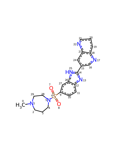 CN1CCCN(S(=O)(=O)c2ccc3nc(-c4cnc5cccnc5c4)[nH]c3c2)CC1